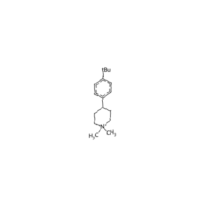 CC(C)(C)c1ccc(C2CC[N+](C)(C)CC2)cc1